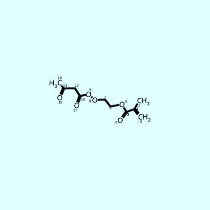 C=C(C)C(=O)OCCOOC(=O)CC(C)=O